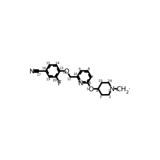 [CH2]N1CCC(Oc2cccc(COc3ccc(C#N)cc3F)n2)CC1